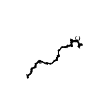 C=C(C)C(=O)C1CC1CCCCCCCCCCCCCCCCCCCCC